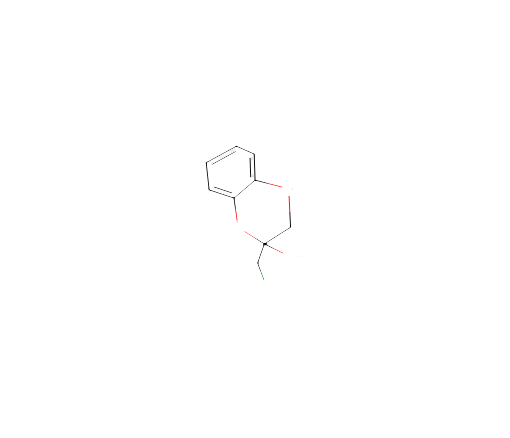 OC1(CCl)COc2ccccc2O1